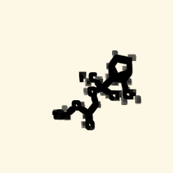 CC(C)(C)OC(=O)COC(C1C2C=CC(C2)C1C(F)(F)F)(C(F)(F)F)C(F)(F)F